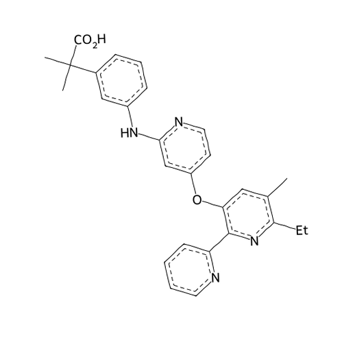 CCc1nc(-c2ccccn2)c(Oc2ccnc(Nc3cccc(C(C)(C)C(=O)O)c3)c2)cc1C